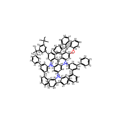 CC(C)(C)c1cc(-c2ccc3c(c2)N(c2cc(-c4ccccc4)cc(-c4ccccc4)c2)c2cc(-n4c5ccccc5c5ccccc54)cc4c2B3c2cc3c(cc2N4c2cc(-c4ccccc4)cc(-c4ccccc4)c2)Oc2ccccc2[Si]3(c2ccccc2)c2ccccc2)cc(C(C)(C)C)c1